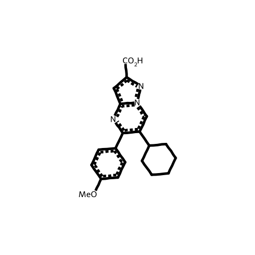 COc1ccc(-c2nc3cc(C(=O)O)nn3cc2C2CCCCC2)cc1